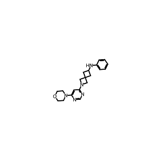 c1ccc(NC2CC3(C2)CN(c2cc(N4CCOCC4)ncn2)C3)cc1